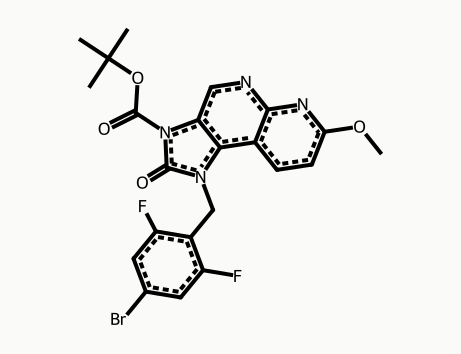 COc1ccc2c(ncc3c2n(Cc2c(F)cc(Br)cc2F)c(=O)n3C(=O)OC(C)(C)C)n1